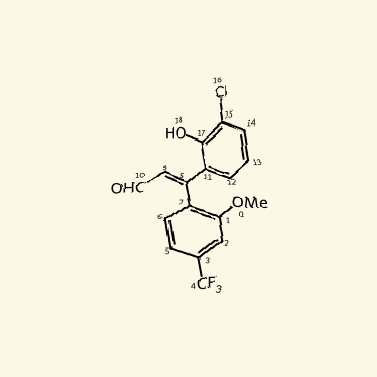 COc1cc(C(F)(F)F)ccc1/C(=C\C=O)c1cccc(Cl)c1O